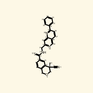 C[C@@]1(C#N)COCc2ccc(C(=S)NCc3cc4nc(-c5ccccc5)ccc4cn3)cc21